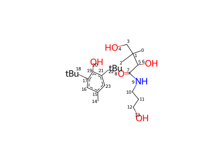 CC(C)(CO)C(O)C(=O)NCCCO.Cc1cc(C(C)(C)C)c(O)c(C(C)(C)C)c1